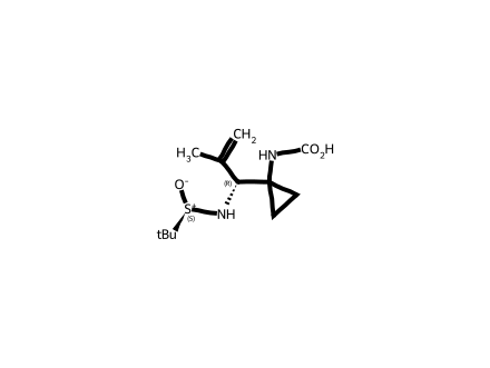 C=C(C)[C@@H](N[S@+]([O-])C(C)(C)C)C1(NC(=O)O)CC1